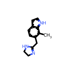 Cc1c(CC2=NCCN2)ccc2cc[nH]c12